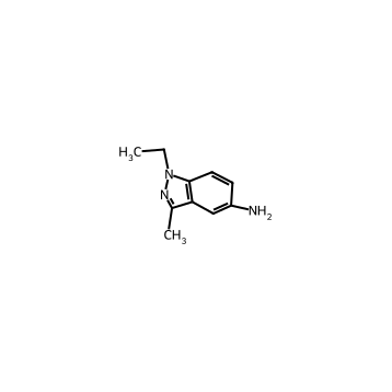 CCn1nc(C)c2cc(N)ccc21